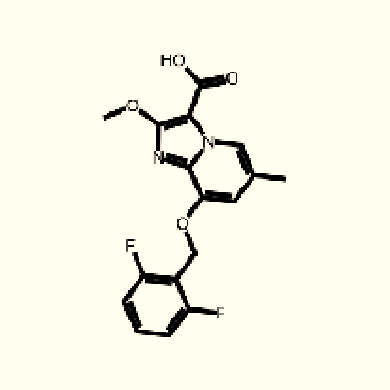 COc1nc2c(OCc3c(F)cccc3F)cc(C)cn2c1C(=O)O